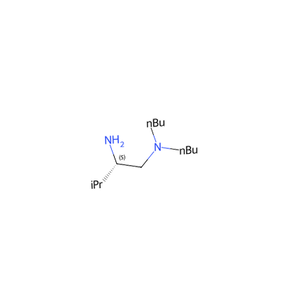 CCCCN(CCCC)C[C@@H](N)C(C)C